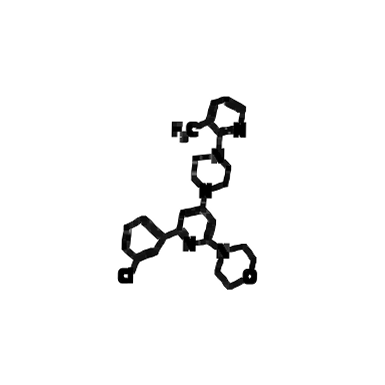 FC(F)(F)c1cccnc1N1CCN(c2cc(-c3cccc(Cl)c3)nc(N3CCOCC3)c2)CC1